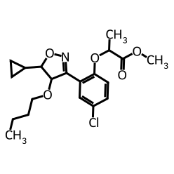 CCCCOC1C(c2cc(Cl)ccc2OC(C)C(=O)OC)=NOC1C1CC1